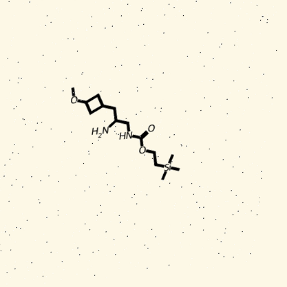 COC1CC(CC(N)CNC(=O)OCC[Si](C)(C)C)C1